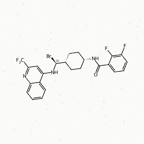 O=C(N[C@H]1CC[C@@H]([C@H](Br)Nc2cc(C(F)(F)F)nc3ccccc23)CC1)c1cccc(F)c1F